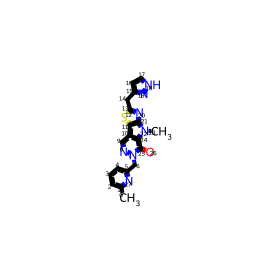 Cc1cccc(Cn2ncc3c4sc(Cc5cc[nH]n5)nc4n(C)c3c2=O)n1